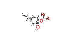 C=CCc1ccc(OC(Br)Br)c(OC)c1